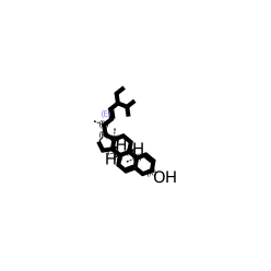 CCC(/C=C/[C@@H](C)[C@H]1CC[C@H]2[C@@H]3CC=C4C[C@@H](O)C=C[C@]4(C)[C@H]3CC[C@]12C)C(C)C